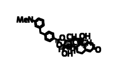 CNc1cccc(Cc2ccc([C@@H]3O[C@@H]4C[C@@]5(C)[C@@H]6CCC7=CC(=O)C=C[C@]7(C)[C@@]6(F)[C@@H](O)C[C@]5(C)[C@]4(C(=O)CO)O3)cc2)c1